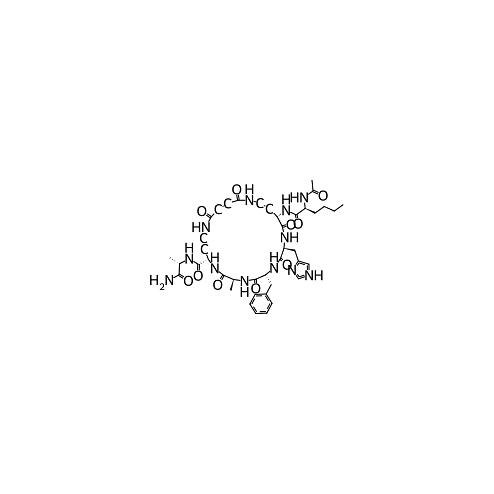 CCCC[C@H](NC(C)=O)C(=O)N[C@H]1CCNC(=O)CCC(=O)NCC[C@@H](C(=O)N[C@@H](C)C(N)=O)NC(=O)[C@H](C)NC(=O)[C@@H](Cc2ccccc2)NC(=O)[C@H](Cc2c[nH]cn2)NC1=O